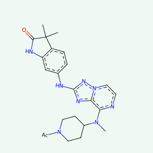 CC(=O)N1CCC(N(C)c2nccn3nc(Nc4ccc5c(c4)NC(=O)C5(C)C)nc23)CC1